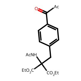 CCOC(=O)C(Cc1ccc(C(=O)C(C)=O)cc1)(NC(C)=O)C(=O)OCC